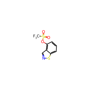 O=S(=O)(Oc1cccc2sncc12)C(F)(F)F